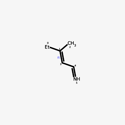 CC/C(C)=C/C=N